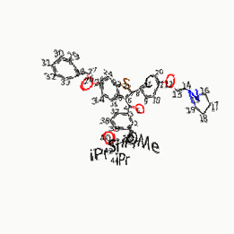 COc1cc(C(=O)c2c(-c3ccc(OCCN4CCCC4)cc3)sc3cc(OCc4ccccc4)ccc23)ccc1O[Si](C(C)C)(C(C)C)C(C)C